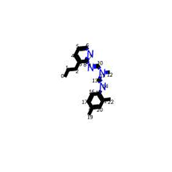 CCCc1cccnc1N=CN(C)C=Nc1ccc(C)cc1C